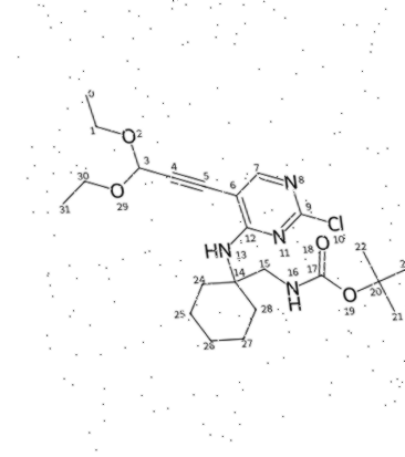 CCOC(C#Cc1cnc(Cl)nc1NC1(CNC(=O)OC(C)(C)C)CCCCC1)OCC